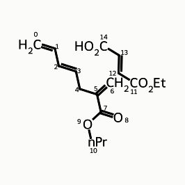 C=CC=CCC(=C)C(=O)OCCC.CCOC(=O)C=CC(=O)O